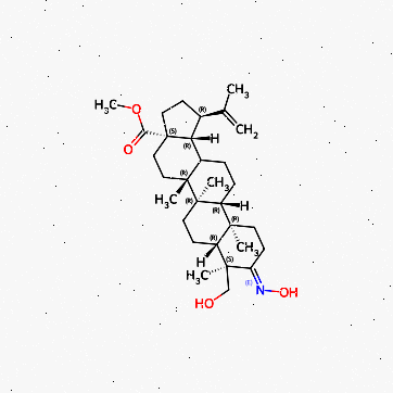 C=C(C)[C@@H]1CC[C@]2(C(=O)OC)CC[C@]3(C)C(CC[C@@H]4[C@@]5(C)CC/C(=N\O)[C@@](C)(CO)[C@@H]5CC[C@]43C)[C@@H]12